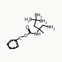 BC(B)(B)CC(C)(CN)NC(=O)OCc1ccccc1